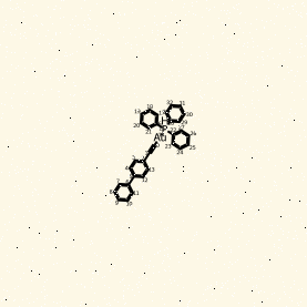 [C](#Cc1ccc(-c2ccccc2)cc1)[Au][PH](c1ccccc1)(c1ccccc1)c1ccccc1